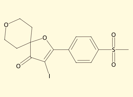 CS(=O)(=O)c1ccc(C2=C(I)C(=O)C3(CCOCC3)O2)cc1